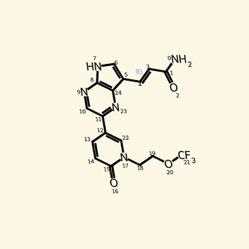 NC(=O)/C=C/c1c[nH]c2ncc(-c3ccc(=O)n(CCOC(F)(F)F)c3)nc12